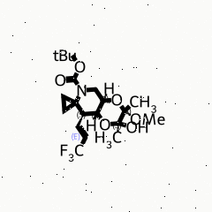 CO[C@@]1(C)O[C@@H]2CN(C(=O)OC(C)(C)C)C3(CC3)[C@H](/C=C/C(F)(F)F)[C@H]2O[C@]1(C)O